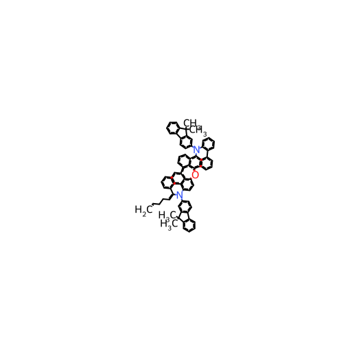 C=CCC/C=C(\c1ccccc1)N(c1ccc2c(c1)C(C)(C)c1ccccc1-2)c1ccc2oc3ccc(N(c4ccc5c(c4)C(C)(C)c4ccccc4-5)c4ccccc4-c4ccccc4)c4cccc(c5cccc1c25)c34